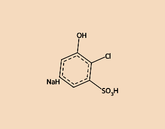 O=S(=O)(O)c1cccc(O)c1Cl.[NaH]